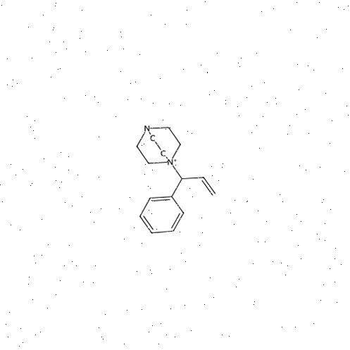 C=CC(c1ccccc1)[N+]12CCN(CC1)CC2